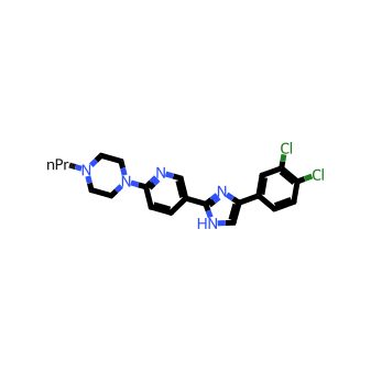 CCCN1CCN(c2ccc(-c3nc(-c4ccc(Cl)c(Cl)c4)c[nH]3)cn2)CC1